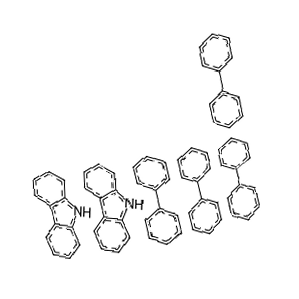 c1ccc(-c2ccccc2)cc1.c1ccc(-c2ccccc2)cc1.c1ccc(-c2ccccc2)cc1.c1ccc(-c2ccccc2)cc1.c1ccc2c(c1)[nH]c1ccccc12.c1ccc2c(c1)[nH]c1ccccc12